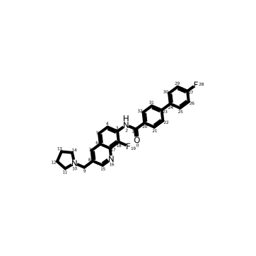 O=C(Nc1ccc2cc(CN3CCCC3)cnc2c1F)c1ccc(-c2ccc(F)cc2)cc1